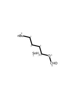 CCCCCCCCOC=O.[SnH2]